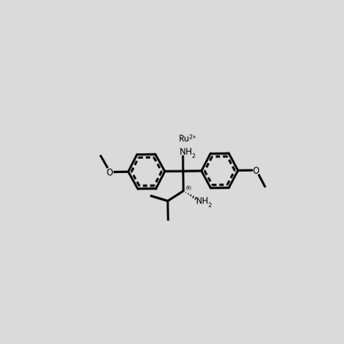 COc1ccc(C(N)(c2ccc(OC)cc2)[C@H](N)C(C)C)cc1.[Ru+2]